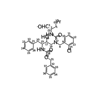 CC(C)C[C@@H]([C]=O)NC(=O)N(Cc1ccccc1Cl)CC(O)C(Cc1ccccc1)NC(=O)OCc1ccccc1